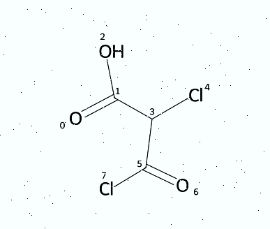 O=C(O)C(Cl)C(=O)Cl